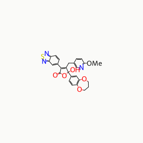 COc1ccc(CC2=C(c3ccc4nsnc4c3)C(=O)OC2(O)c2ccc3c(c2)OCCCO3)cn1